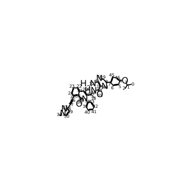 CC(C)Oc1ccc(-c2cnc(N)c(C(=O)N[C@@H](C)c3cc4cccc(C#Cc5ccn(C)n5)c4c(=O)n3-c3ccccc3)n2)cc1